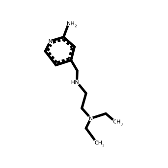 CCN(CC)CCNCc1ccnc(N)c1